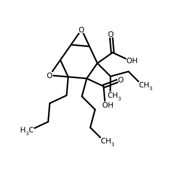 CCCCC12OC1C1OC1C(C(=O)O)(C(C)CC)C2(CCCC)C(=O)O